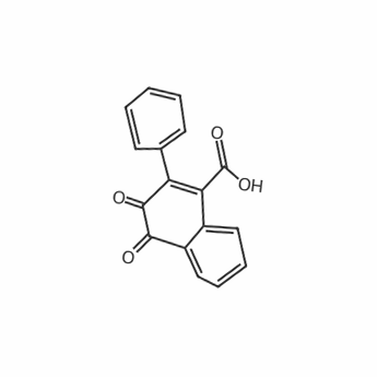 O=C(O)C1=C(c2ccccc2)C(=O)C(=O)c2ccccc21